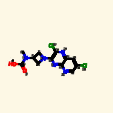 CN(C(=O)O)C1CN(c2nc3ncc(Cl)cc3nc2Cl)C1